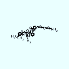 CCC(=O)NC(Cc1nc2ccc(C(C)C)cc2s1)C(=O)NC(CNC(=O)C1CCN(CCOCCOCCOCCN)CC1)C1CCCCC1